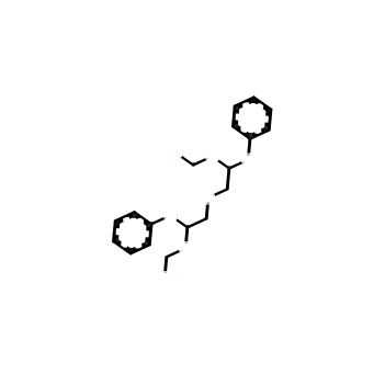 CCOC(COCC(OCC)Oc1ccccc1)Oc1ccccc1